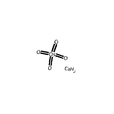 [CaH2].[O]=[Os](=[O])(=[O])=[O]